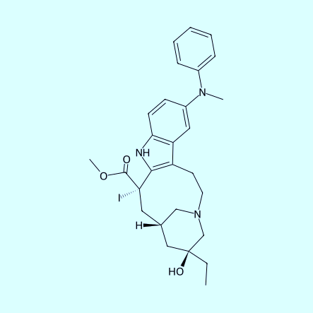 CC[C@]1(O)C[C@H]2CN(CCc3c([nH]c4ccc(N(C)c5ccccc5)cc34)[C@](I)(C(=O)OC)C2)C1